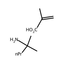 C=C(C)C(=O)O.CCCC(C)(C)N